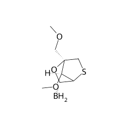 B[C@@H]1O[C@@]2(COC)CSC1[C@H]2OC